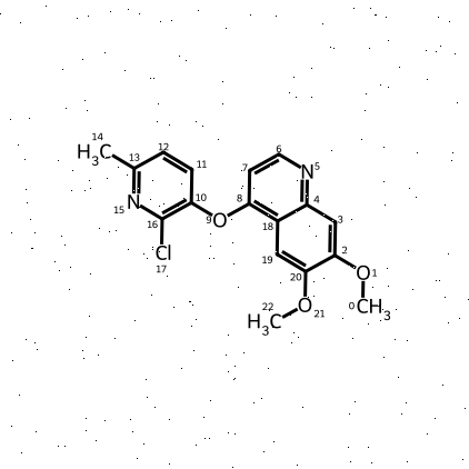 COc1cc2nccc(Oc3ccc(C)nc3Cl)c2cc1OC